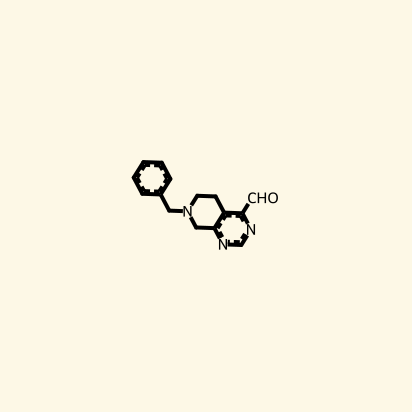 O=Cc1ncnc2c1CCN(Cc1ccccc1)C2